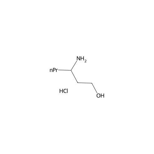 CCCC(N)CCO.Cl